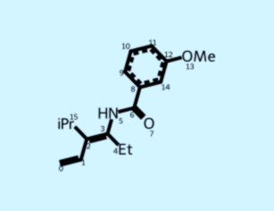 C=C/C(=C(\CC)NC(=O)c1cccc(OC)c1)C(C)C